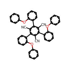 N#Cc1c(-c2ccccc2Oc2ccccc2)c(C#N)c(-c2ccccc2Oc2ccccc2)c(C#N)c1-c1ccccc1Oc1ccccc1